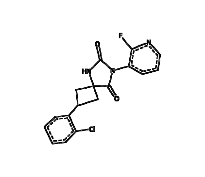 O=C1NC2(CC(c3ccccc3Cl)C2)C(=O)N1c1cccnc1F